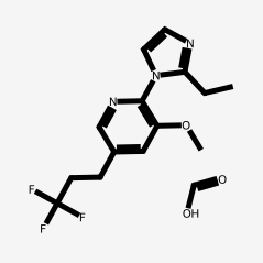 CCc1nccn1-c1ncc(CCC(F)(F)F)cc1OC.O=CO